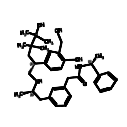 C[C@H](Cc1cccc(CC(=O)N[C@H](C)c2ccccc2)c1)NC[C@H](CC(C)(C)[Si](C)(C)O)c1ccc(O)c(CO)c1